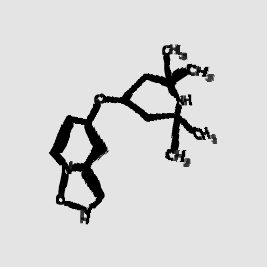 CC1(C)CC(OC2=CC3=CNON3C=C2)CC(C)(C)N1